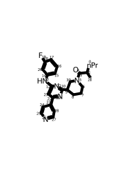 CCCC(I)C(=O)N1CCCC(c2nc(Nc3cccc(F)c3)cc(-c3ccncc3)n2)C1